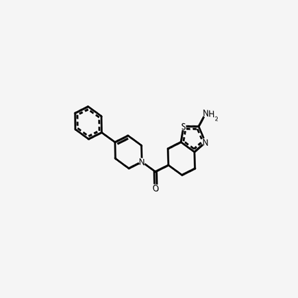 Nc1nc2c(s1)CC(C(=O)N1CC=C(c3ccccc3)CC1)CC2